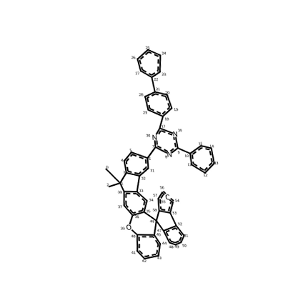 CC1(C)c2ccc(-c3nc(-c4ccccc4)nc(-c4ccc(-c5ccccc5)cc4)n3)cc2-c2cc3c(cc21)Oc1ccccc1C31c2ccccc2-c2ccccc21